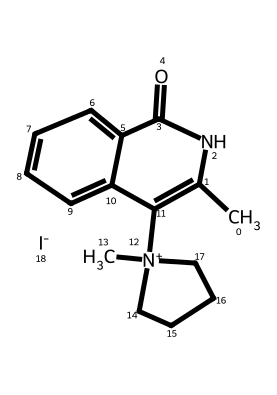 Cc1[nH]c(=O)c2ccccc2c1[N+]1(C)CCCC1.[I-]